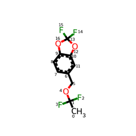 CC(F)(F)OCc1ccc2c(c1)OC(F)(F)O2